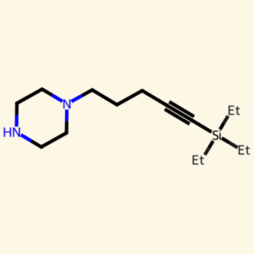 CC[Si](C#CCCCN1CCNCC1)(CC)CC